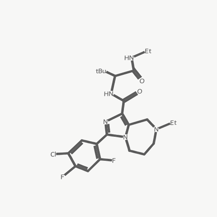 CCNC(=O)C(NC(=O)c1nc(-c2cc(Cl)c(F)cc2F)n2c1CN(CC)CCC2)C(C)(C)C